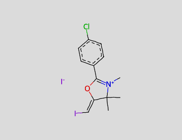 C[N+]1=C(c2ccc(Cl)cc2)OC(=CI)C1(C)C.[I-]